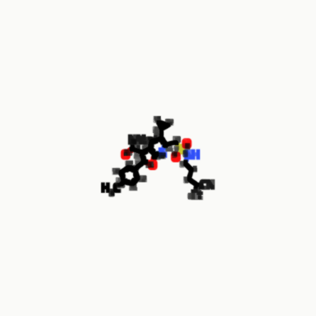 CCC(C#N)CCCNS(=O)(=O)Cc1nc2oc(-c3ccc(C)cc3)c(C(=O)NC)c2cc1C1CC1